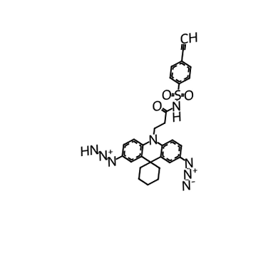 C#Cc1ccc(S(=O)(=O)NC(=O)CCN2c3ccc(N=[N+]=[N-])cc3C3(CCCCC3)c3cc(N=[N+]=N)ccc32)cc1